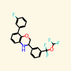 Fc1cccc(-c2cccc3c2OCC(c2cccc(C(F)(F)OC(F)F)c2)N3)c1